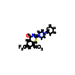 O=c1nc(N2CCN(C3CCCCC3)CC2)sc2c([N+](=O)[O-])cc(C(F)(F)F)cc12